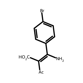 CC(=O)C(C(=O)O)=C(N)c1ccc(Br)cc1